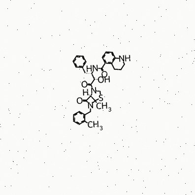 Cc1ccccc1CN1C(=O)[C@H]2N(C(=O)[C@@H](O)[C@H](Cc3ccccc3)NC(=O)c3cccc4c3CCCN4)CSC21C